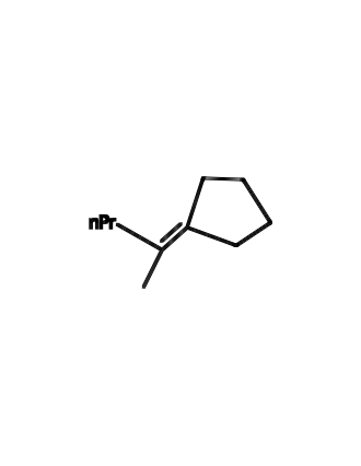 CCCC(C)=C1CCCC1